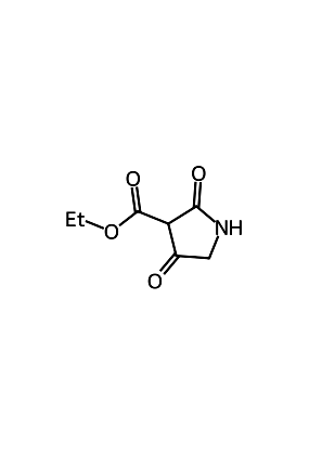 CCOC(=O)C1C(=O)CNC1=O